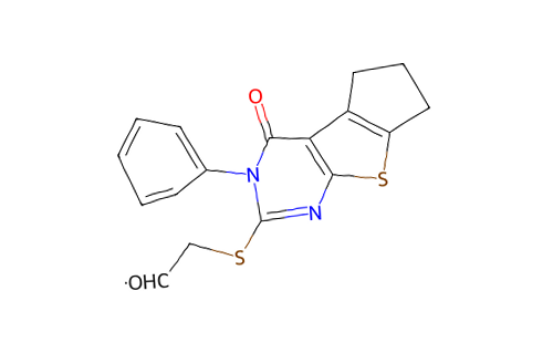 O=[C]CSc1nc2sc3c(c2c(=O)n1-c1ccccc1)CCC3